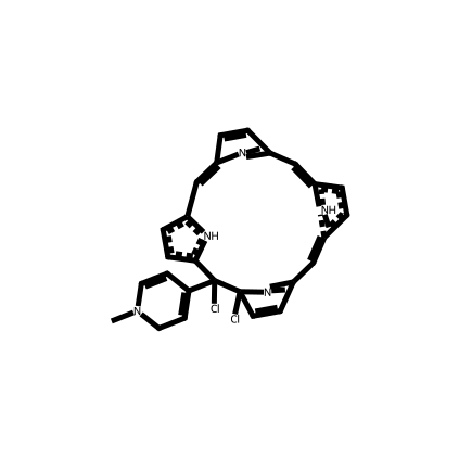 CN1C=CC(C2(Cl)c3ccc([nH]3)C=C3C=CC(=N3)C=c3ccc([nH]3)=CC3=NC2(Cl)C=C3)=CC1